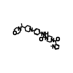 CC(C1CCN(c2ccc(NC(=O)N3CCN(C(=O)c4cccn4C)CC3)cc2)CC1)N1CCOCC1